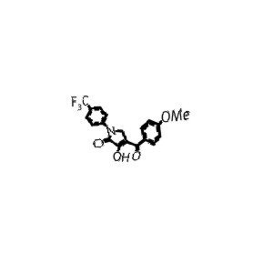 COc1ccc(C(=O)C2=C(O)C(=O)N(c3ccc(C(F)(F)F)cc3)C2)cc1